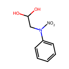 O=[N+]([O-])N(CC(O)O)c1ccccc1